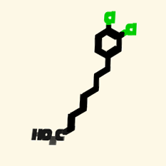 O=C(O)C=CC=CCCCc1ccc(Cl)c(Cl)c1